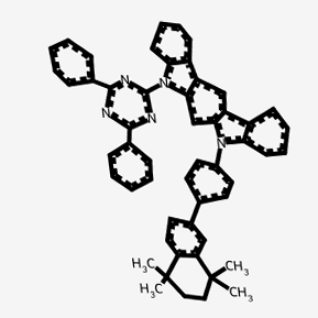 CC1(C)CCC(C)(C)c2cc(-c3ccc(-n4c5ccccc5c5cc6c7ccccc7n(-c7nc(-c8ccccc8)nc(-c8ccccc8)n7)c6cc54)cc3)ccc21